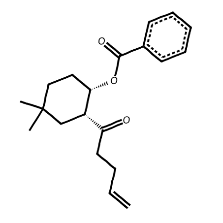 C=CCCC(=O)[C@@H]1CC(C)(C)CC[C@@H]1OC(=O)c1ccccc1